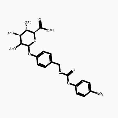 COC(=O)[C@H]1OC(Oc2ccc(COC(=O)Oc3ccc([N+](=O)[O-])cc3)cc2)C(OC(C)=O)[C@@H](OC(C)=O)[C@@H]1OC(C)=O